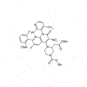 COC(=O)CC1CN(C(=O)OC(C)(C)C)CCN1c1c([N+](=O)[O-])c(=O)n(-c2c(C)ccnc2C(C)C)c2nc(-c3c(F)cccc3OC)c(F)cc12